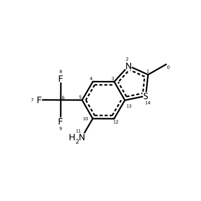 Cc1nc2cc(C(F)(F)F)c(N)cc2s1